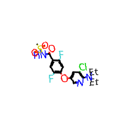 CCN(CC)c1ncc(Oc2cc(F)c(C(=O)NS(C)(=O)=O)cc2F)cc1Cl